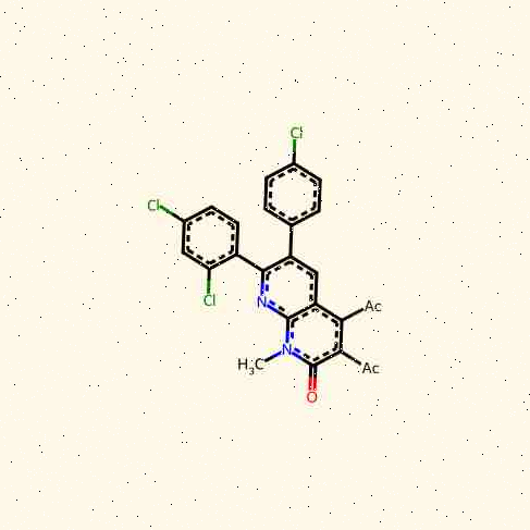 CC(=O)c1c(C(C)=O)c2cc(-c3ccc(Cl)cc3)c(-c3ccc(Cl)cc3Cl)nc2n(C)c1=O